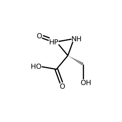 O=C(O)[C@]1(CO)N[PH]1=O